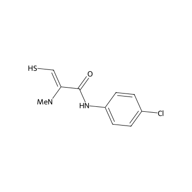 CN/C(=C\S)C(=O)Nc1ccc(Cl)cc1